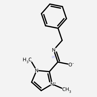 Cn1cc[n+](C)c1/C([O-])=N/Cc1ccccc1